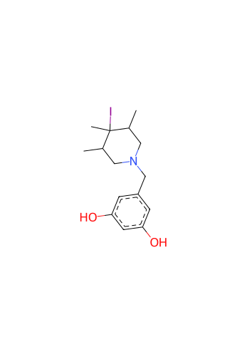 CC1CN(Cc2cc(O)cc(O)c2)CC(C)C1(C)I